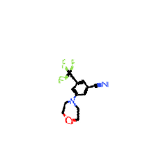 N#Cc1cc(N2CCOCC2)cc(C(F)(F)F)c1